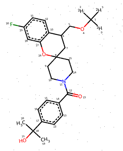 [2H]C([2H])([2H])OCC1CC2(CCN(C(=O)c3ccc(C(C)(C)O)cc3)CC2)Oc2cc(F)ccc21